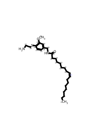 CCCCCCCC/C=C\CCCCCCCC(=O)NCc1ccc(SCCN)c(OC)c1